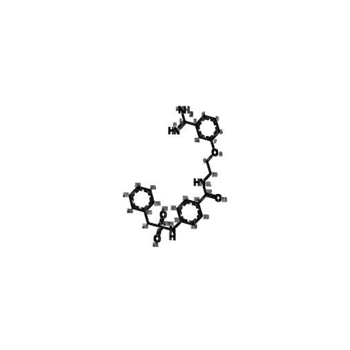 N=C(N)c1cccc(OCCNC(=O)c2ccc(NS(=O)(=O)Cc3ccccc3)cc2)c1